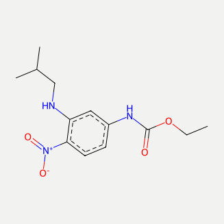 CCOC(=O)Nc1ccc([N+](=O)[O-])c(NCC(C)C)c1